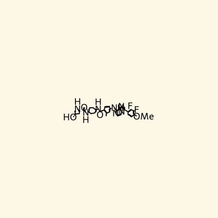 COc1ccc(-c2cnc3c(Nc4ccc(C(=O)NC5CCC(NC(=O)[C@@H]6C[C@@H](O)CN6)CC5)c(C)c4)nccn23)c(F)c1F